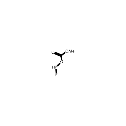 COC(=O)OPF